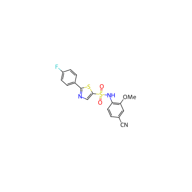 COc1cc(C#N)ccc1NS(=O)(=O)c1cnc(-c2ccc(F)cc2)s1